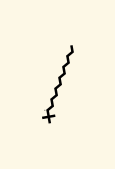 CCCCCCCCCCCC[CH]C(C)(C)C